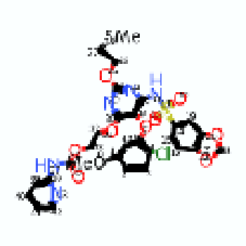 COc1ccc(Cl)c(Oc2c(NS(=O)(=O)c3ccc4c(c3)OCO4)nc(OCCSC)nc2OCCOC(=O)Nc2ccccn2)c1